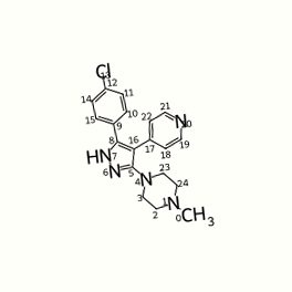 CN1CCN(c2n[nH]c(-c3ccc(Cl)cc3)c2-c2ccncc2)CC1